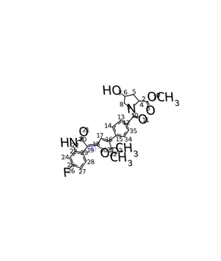 COC(=O)C1CC(O)CN1C(=O)c1ccc(C2=C/C(=C3\C(=O)Nc4cc(F)ccc43)OC2(C)C)cc1